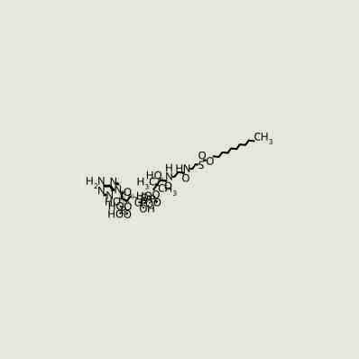 CCCCCCCCCCCOC(=O)SCCNC(=O)CCNC(=O)[C@H](O)C(C)(C)COP(=O)(O)OP(=O)(O)OC[C@H]1O[C@@H](n2cnc3c(N)ncnc32)[C@H](O)[C@@H]1OP(=O)(O)O